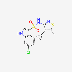 Cc1snc(NS(=O)(=O)c2c[nH]c3cc(Cl)ccc23)c1C1CC1